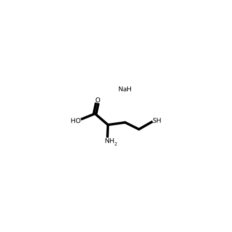 NC(CCS)C(=O)O.[NaH]